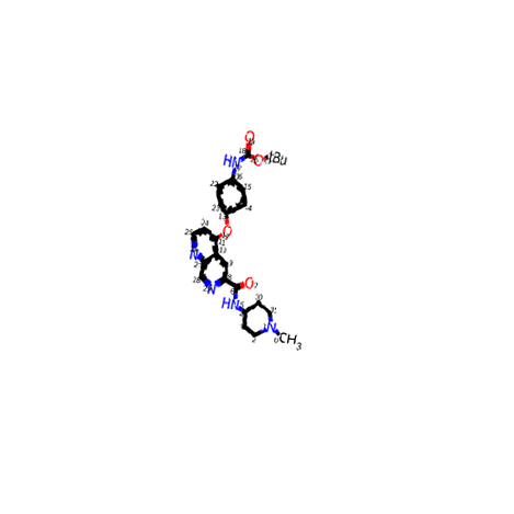 CN1CCC(NC(=O)c2cc3c(Oc4ccc(NC(=O)OC(C)(C)C)cc4)ccnc3cn2)CC1